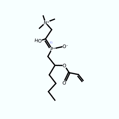 C=CC(=O)OC(CCCC)C/[P+]([O-])=C(\O)C[N+](C)(C)C